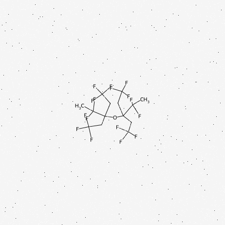 CC(F)(F)C(CC(F)(F)F)(CC(F)(F)F)OC(CC(F)(F)F)(CC(F)(F)F)C(C)(F)F